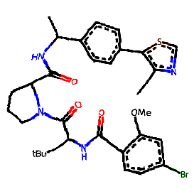 COc1cc(Br)ccc1C(=O)NC(C(=O)N1CCCC1C(=O)NC(C)c1ccc(-c2scnc2C)cc1)C(C)(C)C